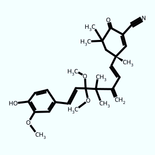 C=C(/C=C/[C@@]1(C)C=C(C#N)C(=O)C(C)(C)C1)C(C)(C)C(/C=C/c1ccc(O)c(OC)c1)(OC)OC